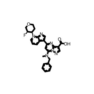 CN(Cc1ccccc1)c1cc(-c2cnc3n([C@@H]4CCOC[C@@H]4F)cccc2-3)nc2c(C(=O)O)cnn12